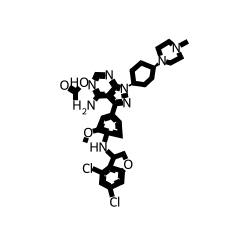 CC(=O)O.COc1cc(-c2nn([C@H]3CC[C@H](N4CCN(C)CC4)CC3)c3ncnc(N)c23)ccc1NC1COc2cc(Cl)cc(Cl)c21